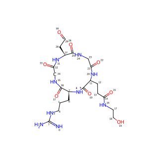 N=C(N)NCCC[C@@H]1NC(=O)C(CCC(=O)NCCO)NC(=O)CNC(=O)[C@H](CC=O)NC(=O)CNC1=O